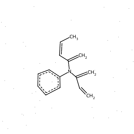 C=CC(=C)N(C(=C)/C=C\C)c1ccccc1